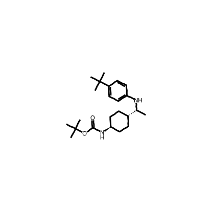 CC(Nc1ccc(C(C)(C)C)cc1)[C@H]1CC[C@H](NC(=O)OC(C)(C)C)CC1